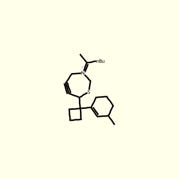 CCCC/C(C)=[N+]1/CC#CC(C2(C3=CC(C)CCC3)CCC2)SC1